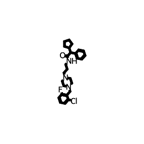 O=C(NCCCN1CCN(Cc2c(F)cccc2Cl)CC1)C(c1ccccc1)C1CCCC1